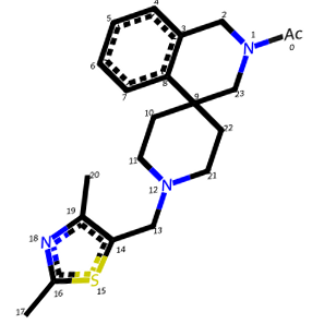 CC(=O)N1Cc2ccccc2C2(CCN(Cc3sc(C)nc3C)CC2)C1